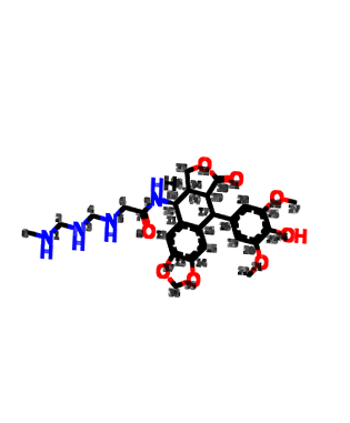 CNCNCNCC(=O)N[C@@H]1c2cc3c(cc2C(c2cc(OC)c(O)c(OC)c2)C2C(=O)OC[C@@H]21)OCO3